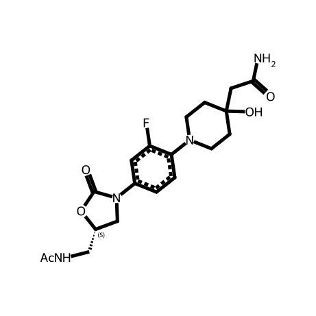 CC(=O)NC[C@H]1CN(c2ccc(N3CCC(O)(CC(N)=O)CC3)c(F)c2)C(=O)O1